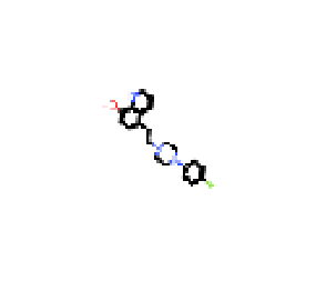 Oc1ccc(CCN2CCN(c3ccc(F)cc3)CC2)c2cccnc12